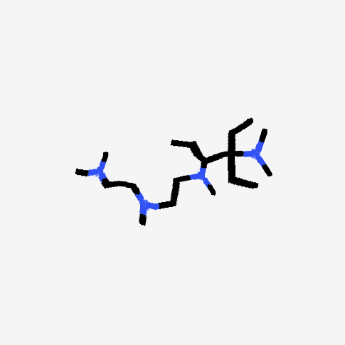 CCC(N(C)CCN(C)CCN(C)C)C(CC)(CC)N(C)C